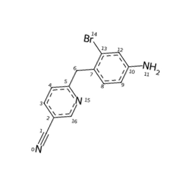 N#Cc1ccc(Cc2ccc(N)cc2Br)nc1